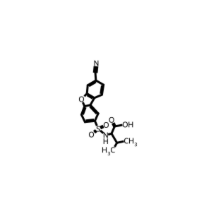 CC(C)C(NS(=O)(=O)c1ccc2oc3cc(C#N)ccc3c2c1)C(=O)O